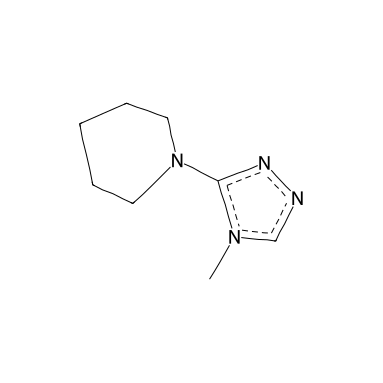 Cn1cnnc1N1CCCCC1